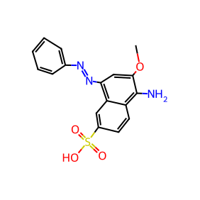 COc1cc(/N=N/c2ccccc2)c2cc(S(=O)(=O)O)ccc2c1N